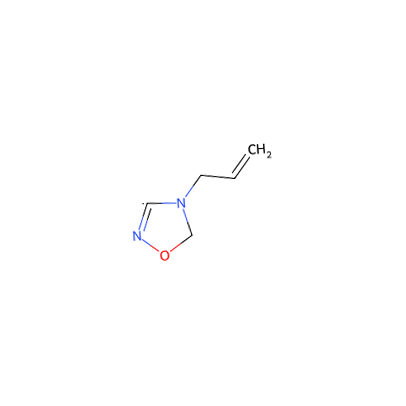 C=CCN1[C]=NOC1